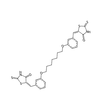 O=C1NC(=S)SC1=Cc1cccc(OCCCCCCCOc2cccc(C=C3SC(=S)NC3=O)c2)c1